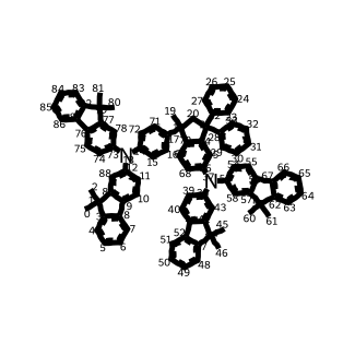 CC1(C)c2ccccc2-c2ccc(N(c3ccc(C4(C)CC(c5ccccc5)(c5ccccc5)c5cc(N(c6ccc7c(c6)C(C)(C)c6ccccc6-7)c6ccc7c(c6)C(C)(C)c6ccccc6-7)ccc54)cc3)c3ccc4c(c3)C(C)(C)c3ccccc3-4)cc21